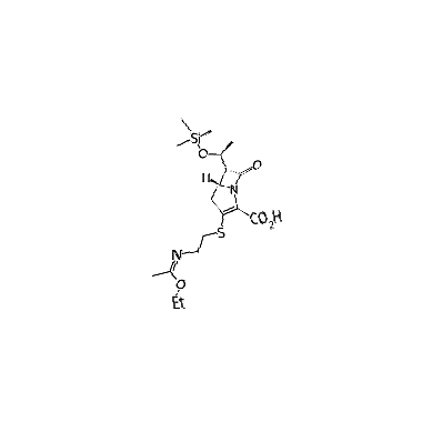 CCO/C(C)=N\CCSC1=C(C(=O)O)N2C(=O)[C@@H]([C@H](C)O[Si](C)(C)C)[C@H]2C1